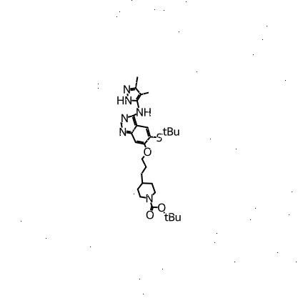 Cc1n[nH]c(Nc2ncnc3cc(OCCCC4CCN(C(=O)OC(C)(C)C)CC4)c(SC(C)(C)C)cc23)c1C